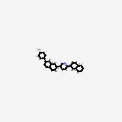 Fc1ccc(-c2ccc3ccc(-c4ccc(-c5ccc6ccccc6c5)nc4)cc3c2)cc1